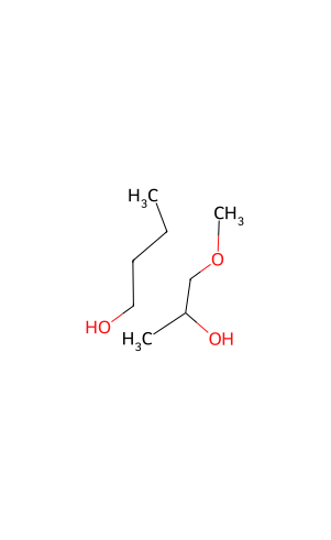 CCCCO.COCC(C)O